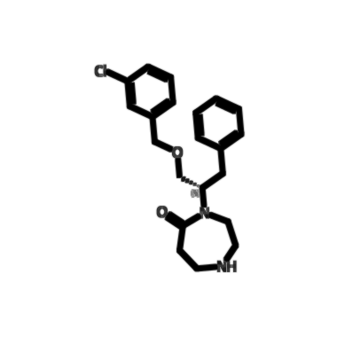 O=C1CCNCCN1[C@H](COCc1cccc(Cl)c1)Cc1ccccc1